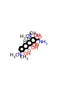 CN(C)c1ccc2c(c1O)C(=O)C1=C(O)[C@]3(O)C(=O)C(C(N)=O)=C(O)[C@@H](N(C)C)[C@@H]3C[C@@H]1C2